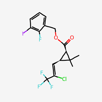 CC1(C)[C@H](C(=O)OCc2cccc(I)c2F)[C@@H]1/C=C(\Cl)C(F)(F)F